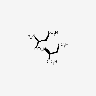 C=C(CC(=O)O)C(=O)O.NC(CC(=O)O)C(=O)O